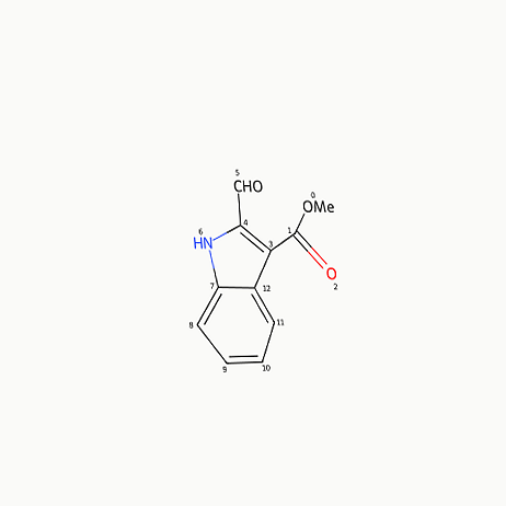 COC(=O)c1c(C=O)[nH]c2ccccc12